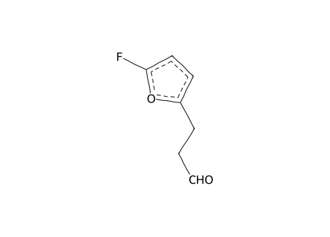 O=CCCc1ccc(F)o1